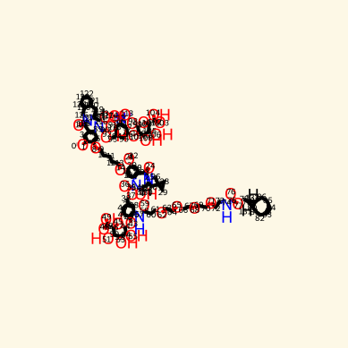 COc1cc2c(cc1OCCCCCOc1cc3c(cc1OC)C(=O)N1CC4(CC4)C[C@H]1[C@H](O)N3C(=O)OCc1ccc(O[C@@H]3O[C@H](C(=O)O)[C@@H](O)[C@H](O)[C@H]3O)c(NC(=O)CCOCCOCCOCCOCCNC(=O)OCC3[C@H]4CCC#CCC[C@@H]34)c1)N(C(=O)OCc1ccc(O[C@@H]3O[C@H](C(=O)O)[C@@H](O)[C@H](O)[C@H]3O)c([N+](=O)[O-])c1)[C@@H](O)[C@@H]1Cc3ccccc3CN1C2=O